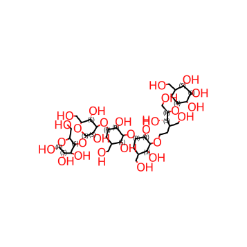 OCC1C[C@@H](OC2[C@@H](O)C(CO)O[C@@H](O[C@@H]3C(CO)O[C@@H](O)[C@@H](O)C3O)[C@H]2O)[C@@H](O)C(O[C@@H]2CC(CO)[C@H](O)C(OCCC(CO)[C@H](O)[C@@H](CO)O[C@@H]3CC(CO)[C@H](O)[C@H](O)C3O)[C@@H]2O)[C@H]1O